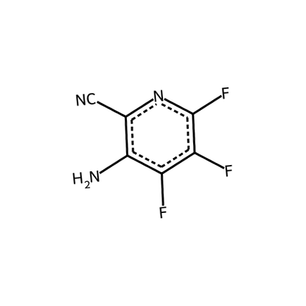 N#Cc1nc(F)c(F)c(F)c1N